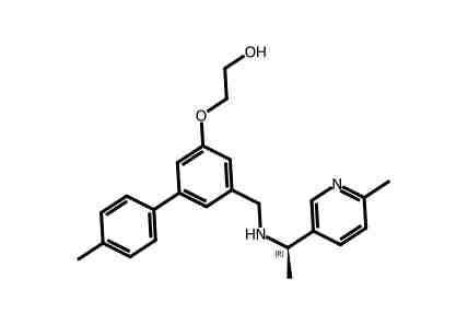 Cc1ccc(-c2cc(CN[C@H](C)c3ccc(C)nc3)cc(OCCO)c2)cc1